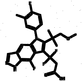 COCC(C)(C)c1c(C(F)(F)CC(=O)O)c2c(F)c3[nH]ncc3cc2n1-c1ccc(F)c(C)c1